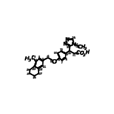 Cc1cc(COc2ccc(C(CC(=O)O)c3nncn3C)cc2)cc2c1CCCC2